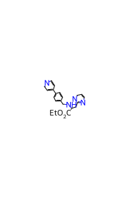 CCOC(=O)C(Cc1ncccn1)NCc1ccc(-c2ccncc2)cc1